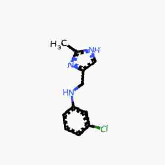 Cc1nc(CNc2cccc(Cl)c2)c[nH]1